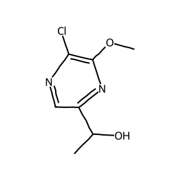 COc1nc(C(C)O)cnc1Cl